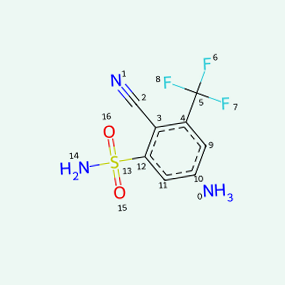 N.N#Cc1c(C(F)(F)F)cccc1S(N)(=O)=O